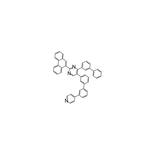 c1ccc(-c2cccc(-c3nc(-c4cc5ccccc5c5ccccc45)ncc3-c3cccc(-c4cccc(-c5ccncc5)c4)c3)c2)cc1